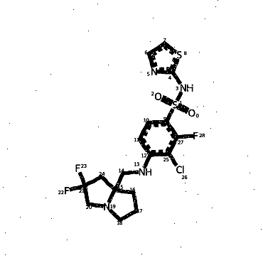 O=S(=O)(Nc1nccs1)c1ccc(NCC23CCCN2CC(F)(F)C3)c(Cl)c1F